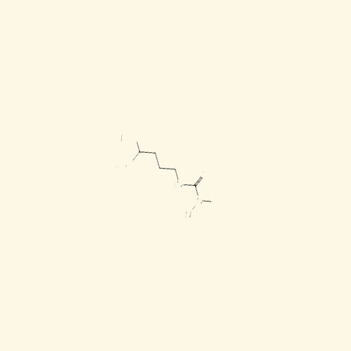 CC(C)CCCNC(=O)N(C)N